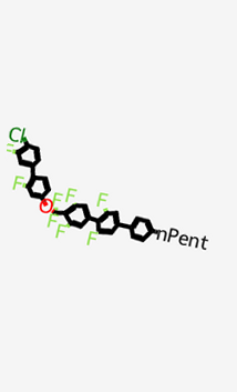 CCCCCc1ccc(-c2cc(F)c(-c3cc(F)c(C(F)(F)Oc4ccc(-c5ccc(Cl)c(F)c5)c(F)c4)c(F)c3)c(F)c2)cc1